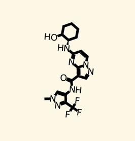 Cn1cc(NC(=O)c2cnn3ccc(N[C@@H]4CCCCC4O)nc23)c(C(F)(F)F)n1